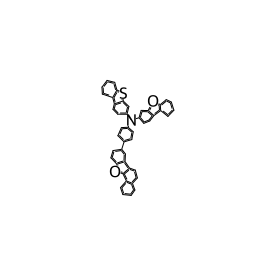 c1ccc2c(c1)ccc1c3cc(-c4ccc(N(c5ccc6c(c5)oc5ccccc56)c5ccc6c(c5)sc5ccccc56)cc4)ccc3oc21